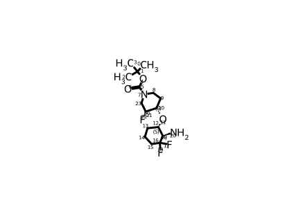 CC(C)(C)OC(=O)N1CC[C@H](O[C@H]2CCCC(F)(F)[C@@H]2N)[C@H](F)C1